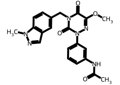 COc1nn(-c2cccc(NC(C)=O)c2)c(=O)n(Cc2ccc3c(cnn3C)c2)c1=O